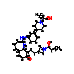 C=CC(=O)N1CC(CCC2C(=O)C=CC3=CCC=C(NC4=CC(C5CCN(C(C)O)CC5)=CCC4)N=C32)C1